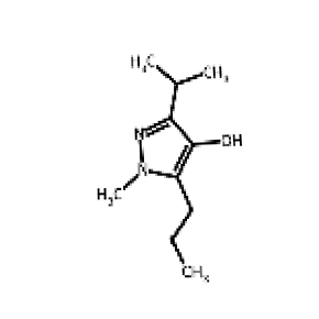 CCCc1c(O)c(C(C)C)nn1C